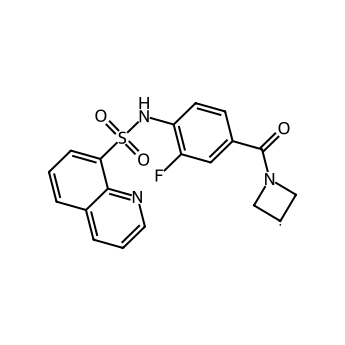 O=C(c1ccc(NS(=O)(=O)c2cccc3cccnc23)c(F)c1)N1C[CH]C1